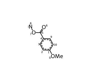 COc1ccc(C(=O)O[N])cc1